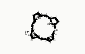 C1=Cc2cc3ccc(cc4nc(cc5ccc(cc1n2)[nH]5)C=C4)[nH]3.[H+]